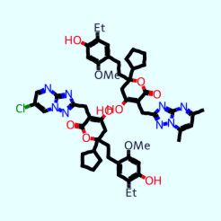 CCc1cc(CCC2(C3CCCC3)CC(O)=C(Cc3nc4nc(C)cc(C)n4n3)C(=O)O2)c(OC)cc1O.CCc1cc(CCC2(C3CCCC3)CC(O)=C(Cc3nc4ncc(Cl)cn4n3)C(=O)O2)c(OC)cc1O